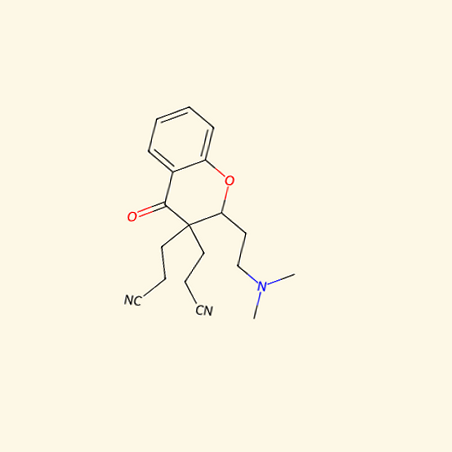 CN(C)CCC1Oc2ccccc2C(=O)C1(CCC#N)CCC#N